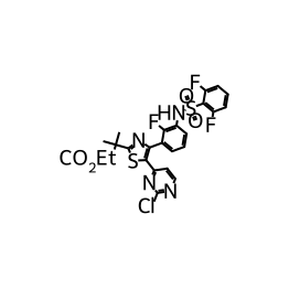 CCOC(=O)C(C)(C)c1nc(-c2cccc(NS(=O)(=O)c3c(F)cccc3F)c2F)c(-c2ccnc(Cl)n2)s1